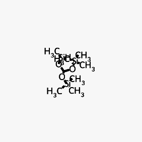 C[SiH2]OC(O[Si](C)(C)C)O[Si](C)(C)C